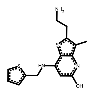 Cc1c(CCN)sc2c(NCc3cccs3)cc(O)nc12